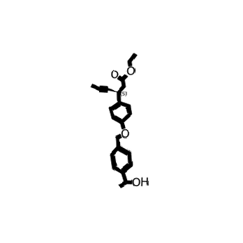 CC#C[C@@H](CC(=O)OCC)c1ccc(OCc2ccc(C(C)O)cc2)cc1